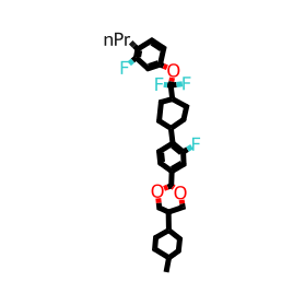 CCCc1ccc(OC(F)(F)C2CCC(c3ccc(C4OCC(C5CCC(C)CC5)CO4)cc3F)CC2)cc1F